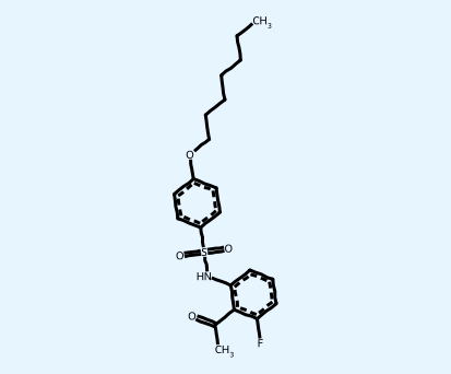 CCCCCCCOc1ccc(S(=O)(=O)Nc2cccc(F)c2C(C)=O)cc1